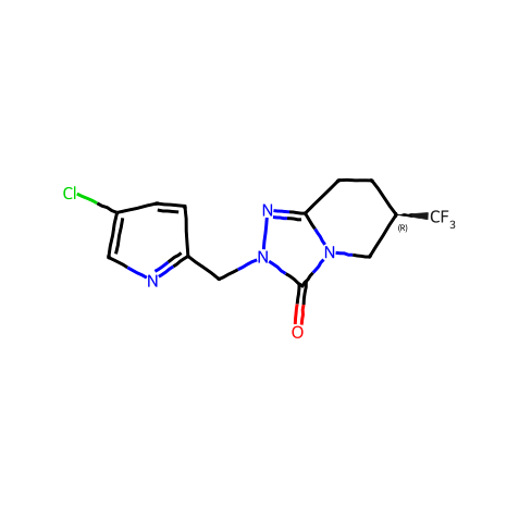 O=c1n(Cc2ccc(Cl)cn2)nc2n1C[C@H](C(F)(F)F)CC2